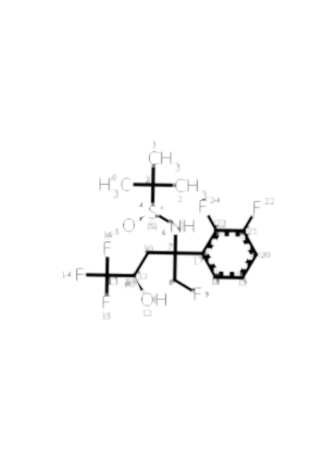 CC(C)(C)[S@@+]([O-])NC(CF)(C[C@@H](O)C(F)(F)F)c1cccc(F)c1F